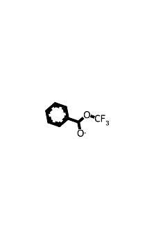 [O]C(OC(F)(F)F)c1ccccc1